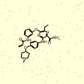 C=CC(=O)Nc1cccc(Oc2nc(Nc3ccc(OC4CCN(C)CC4)cc3)c(C(N)=O)nc2CC)c1